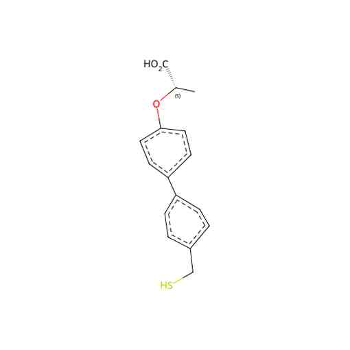 C[C@H](Oc1ccc(-c2ccc(CS)cc2)cc1)C(=O)O